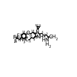 C=C(N)CNCC1NC(=C/CCC)/C(=C\COc2ccc(CC(F)(F)F)cc2)N1C1CC1